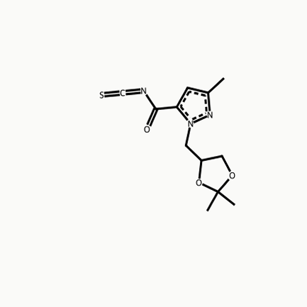 Cc1cc(C(=O)N=C=S)n(CC2COC(C)(C)O2)n1